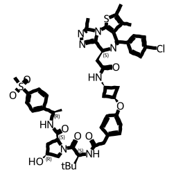 Cc1sc2c(c1C)C(c1ccc(Cl)cc1)=N[C@@H](CC(=O)N[C@H]1C[C@H](Oc3ccc(CC(=O)N[C@H](C(=O)N4C[C@H](O)C[C@H]4C(=O)N[C@H](C)c4ccc(S(C)(=O)=O)cc4)C(C)(C)C)cc3)C1)c1nnc(C)n1-2